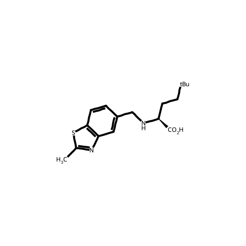 Cc1nc2cc(CN[C@@H](CCC(C)(C)C)C(=O)O)ccc2s1